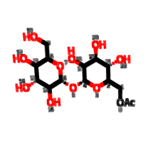 CC(=O)OCC1O[C@H](O[C@H]2OC(CO)C(O)[C@@H](O)C2O)C(O)[C@@H](O)[C@@H]1O